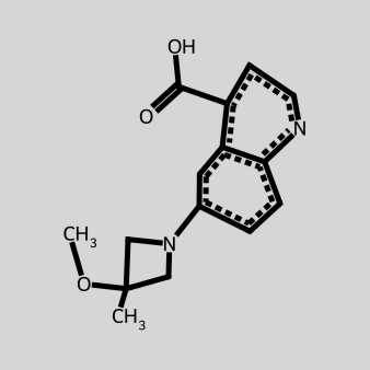 COC1(C)CN(c2ccc3nccc(C(=O)O)c3c2)C1